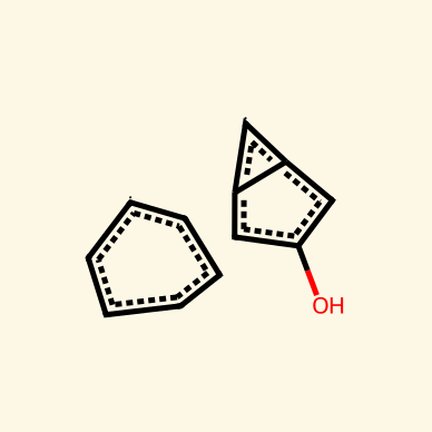 Oc1cc2[c]c-2c1.[c]1ccccc1